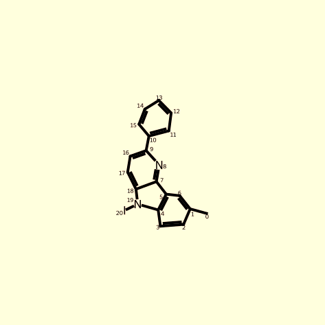 Cc1ccc2c(c1)c1nc(-c3ccccc3)ccc1n2I